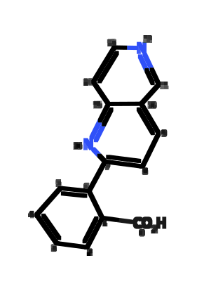 O=C(O)c1ccccc1-c1ccc2cnccc2n1